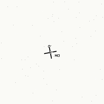 C[N+](C)(C)[O-].Cl